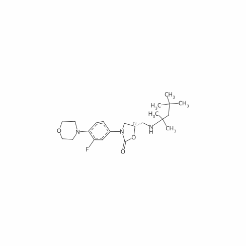 CC(C)(C)CC(C)(C)NC[C@H]1CN(c2ccc(N3CCOCC3)c(F)c2)C(=O)O1